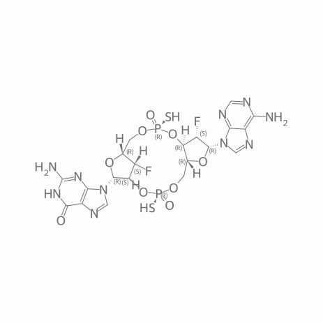 Nc1nc2c(ncn2[C@@H]2O[C@@H]3CO[P@@](=O)(S)O[C@H]4[C@H](F)[C@H](n5cnc6c(N)ncnc65)O[C@@H]4CO[P@@](=O)(S)O[C@@H]2[C@H]3F)c(=O)[nH]1